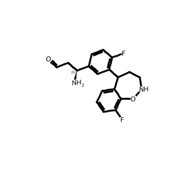 N[C@@H](CC=O)c1ccc(F)c(C2CCNOc3c(F)cccc32)c1